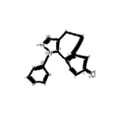 Clc1ccc2c(c1)CCc1cnn(-c3ccccc3)c1-2